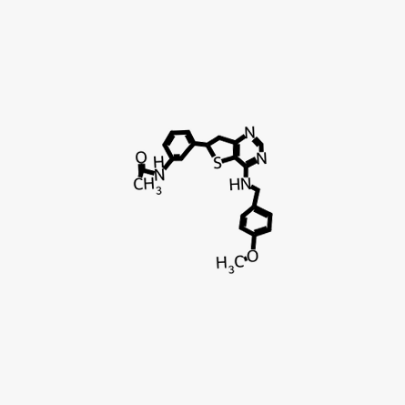 COc1ccc(CNc2ncnc3c2SC(c2cccc(NC(C)=O)c2)C3)cc1